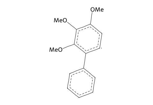 COc1c[c]c(-c2ccccc2)c(OC)c1OC